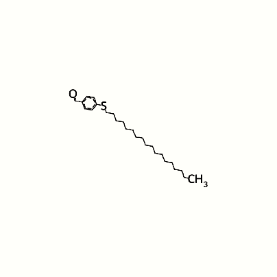 CCCCCCCCCCCCCCCCCCSc1ccc(C=O)cc1